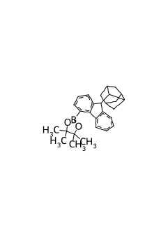 CC1(C)OB(c2cccc3c2-c2ccccc2C3C2C3CC4CC(C3)C2C4)OC1(C)C